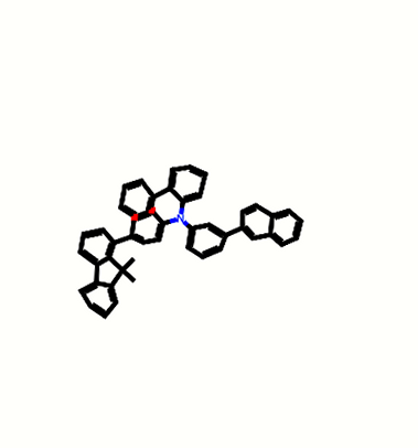 CC1(C)c2ccccc2-c2cccc(-c3ccc(N(c4cccc(-c5ccc6ccccc6c5)c4)c4ccccc4-c4ccccc4)cc3)c21